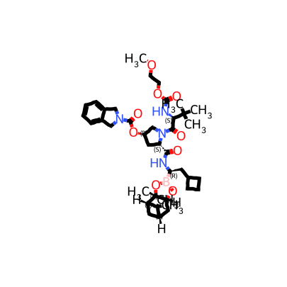 COCCOC(=O)N[C@H](C(=O)N1C[C@H](OC(=O)N2Cc3ccccc3C2)C[C@H]1C(=O)N[C@@H](CC1CCC1)B1O[C@@H]2C[C@@H]3C[C@@H](C3(C)C)[C@]2(C)O1)C(C)(C)C